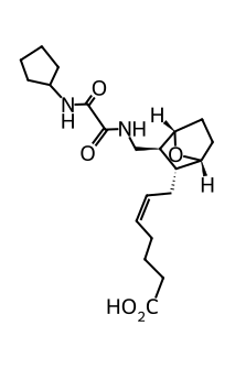 O=C(O)CCC/C=C\C[C@@H]1[C@@H](CNC(=O)C(=O)NC2CCCC2)[C@@H]2CC[C@H]1O2